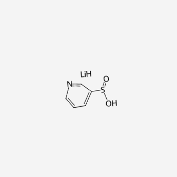 O=S(O)c1cccnc1.[LiH]